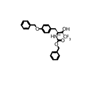 O=C(N[C@@H](Cc1ccc(OCc2ccccc2)cc1)[C@H](O)C(F)(F)F)OCc1ccccc1